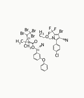 CC1(C)[C@H](C(=O)O[C@H](C#N)c2cccc(Oc3ccccc3)c2)[C@@H]1C(Br)C(Br)(Br)Br.CCOCn1c(-c2ccc(Cl)cc2)c(C#N)c(Br)c1C(F)(F)F